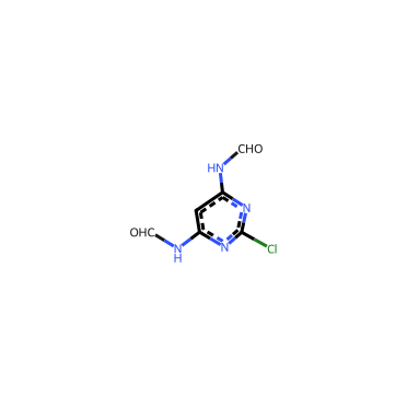 O=CNc1cc(NC=O)nc(Cl)n1